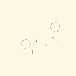 CCc1cc(C)ccc1C(=O)OC(=O)OC(=O)c1ccccc1